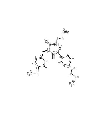 CC(=O)OCCNC(=O)[C@H](Cc1ccc(OC(F)(F)F)cc1)NC(=O)c1ccc(OCCC(F)(F)F)cc1